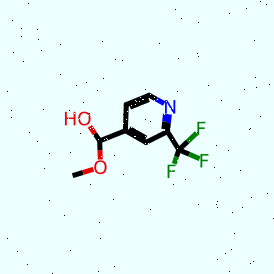 COC(O)c1ccnc(C(F)(F)F)c1